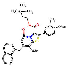 COc1ccc(-c2sc3c(OC)c(Cc4cccc5ccccc45)cc(=O)n3c2C(=O)OCC[Si](C)(C)C)cc1C